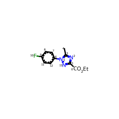 CCOC(=O)c1nc(C)n(-c2ccc(F)cc2)n1